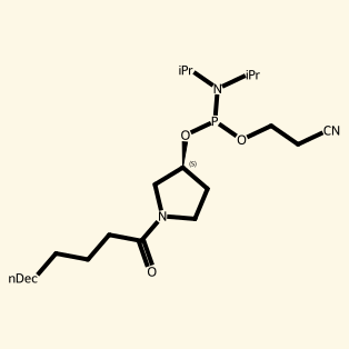 CCCCCCCCCCCCCC(=O)N1CC[C@H](OP(OCCC#N)N(C(C)C)C(C)C)C1